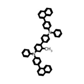 CC1CC(N(c2ccccc2)c2ccc(-c3cccc4ccccc34)cc2)=CC=C1c1ccc(N(c2ccccc2)c2ccc(-c3cccc4ccccc34)cc2)cc1